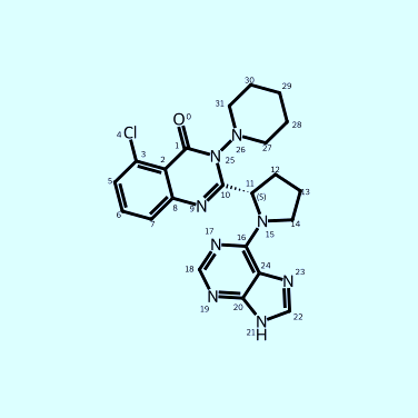 O=c1c2c(Cl)cccc2nc([C@@H]2CCCN2c2ncnc3[nH]cnc23)n1N1CCCCC1